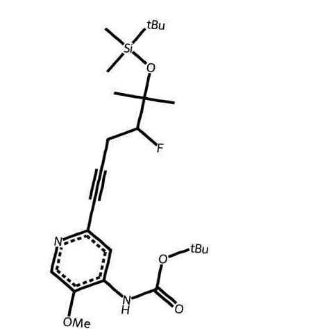 COc1cnc(C#CCC(F)C(C)(C)O[Si](C)(C)C(C)(C)C)cc1NC(=O)OC(C)(C)C